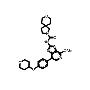 COc1ncc(-c2ccc(OC3CCOCC3)cc2)c2sc(NC(=O)N3CCC4(CCOCC4)C3)nc12